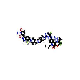 Cn1nc(C2CCC(=O)NC2=O)c2ccc(N3CCC(CN4CCC5(CC4)CCN(c4ncc(F)c(Nc6ccc7c(c6)c6c(c(=O)n7C)OCC(F)(F)[C@H](C7CC7)N6)n4)CC5)CC3)c(F)c21